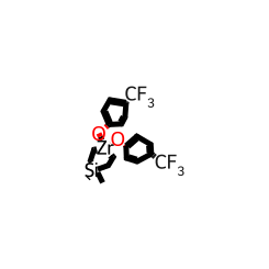 C[Si]1(C)C[CH]=[Zr]([O]c2ccc(C(F)(F)F)cc2)([O]c2ccc(C(F)(F)F)cc2)=[CH]C1